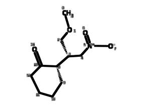 COC[C@H](C[N+](=O)[O-])[C@@H]1CCCCC1=O